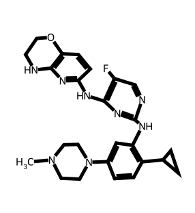 CN1CCN(c2ccc(C3CC3)c(Nc3ncc(F)c(Nc4ccc5c(n4)NCCO5)n3)c2)CC1